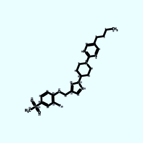 CCCCc1cnc(N2CCC(n3ncc(COc4ccc(S(C)(=O)=O)cc4F)n3)CC2)nc1